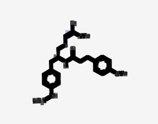 CC/C(=C/SC[C@H](Cc1ccc(NS(=O)(=O)O)cc1)NC(=O)CCc1ccc(OC)cc1)NC